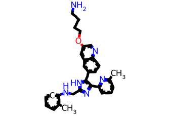 Cc1cccc(-c2nc(CNc3ccccc3C)[nH]c2-c2ccc3ncc(OCCCCN)cc3c2)n1